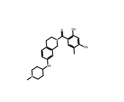 Cc1cc(C(=O)N2CCc3ccc(NC4CCN(C)CC4)cc3C2)c(O)cc1O